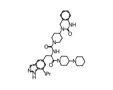 CC(C)c1cc(CC(NC(=O)N2CCC(N3Cc4ccccc4NC3=O)CC2)C(=O)N2CCC(N3CCCCC3)CC2)cc2cn[nH]c12